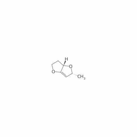 C[C@@H]1C=C2OCC[C@@H]2O1